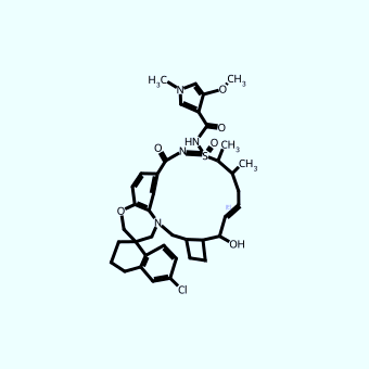 COc1cn(C)cc1C(=O)NS1(=O)=NC(=O)c2ccc3c(c2)N(CC2CCC2C(O)/C=C/CC(C)C1C)CC1(CCCc2cc(Cl)ccc21)CO3